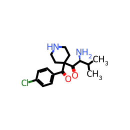 CC(C)[C@H](N)C(=O)C1(C(=O)c2ccc(Cl)cc2)CCNCC1